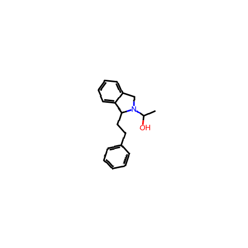 CC(O)N1Cc2ccccc2C1CCc1ccccc1